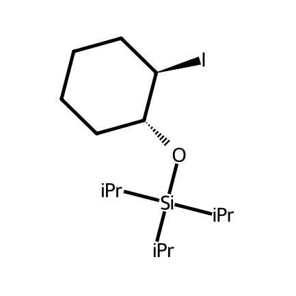 CC(C)[Si](O[C@@H]1CCCC[C@H]1I)(C(C)C)C(C)C